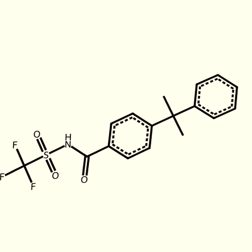 CC(C)(c1ccccc1)c1ccc(C(=O)NS(=O)(=O)C(F)(F)F)cc1